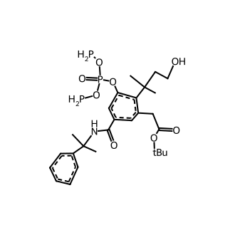 CC(C)(C)OC(=O)Cc1cc(C(=O)NC(C)(C)c2ccccc2)cc(OP(=O)(OP)OP)c1C(C)(C)CCO